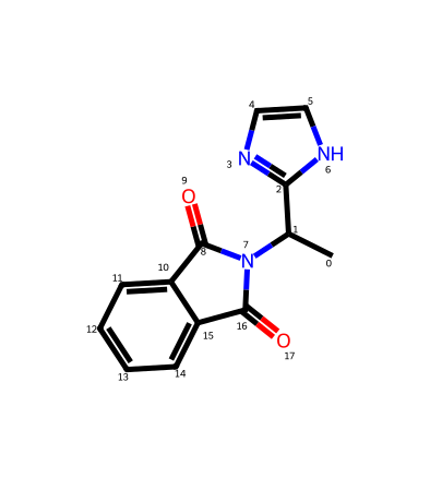 CC(c1ncc[nH]1)N1C(=O)c2ccccc2C1=O